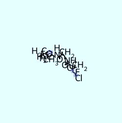 C=C/C(=C\C(F)=C\Cl)OCC(=O)NCCC(=C)C(=O)NCC(=C)/C=C\C(=C)SC(C)(F)F